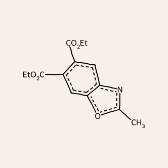 CCOC(=O)c1cc2nc(C)oc2cc1C(=O)OCC